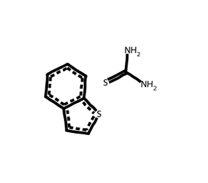 NC(N)=S.c1ccc2sccc2c1